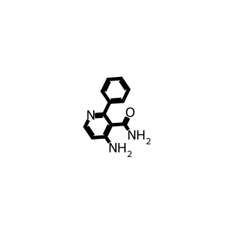 NC(=O)c1c(N)ccnc1-c1ccccc1